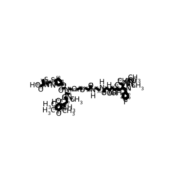 CC1=C(C)C(=O)C(C(C)(C)CC(=O)N(C)CCN(CCOCCOCCC(=O)NCCNC(=O)C[C@H](O)C[C@H](O)/C=C/c2c(-c3ccc(F)cc3)nc(N(C)S(C)(=O)=O)nc2C(C)C)C(=O)Oc2ccc3sc(-c4nc(C(=O)O)cs4)nc3c2)=C(C)C1=O